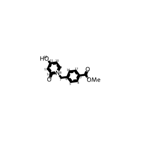 COC(=O)c1ccc(Cn2ccc(O)cc2=O)cc1